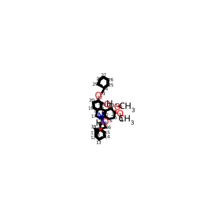 COC1(OC)CC[C@@]2(OCc3ccccc3)[C@H]3Cc4ccc(OCc5ccccc5)c5c4[C@@]2(CCN3CC2CC2)[C@H]1O5